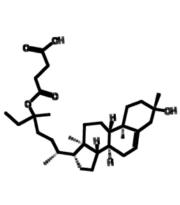 CCC(C)(CC[C@@H](C)[C@H]1CC[C@H]2[C@@H]3CC=C4C[C@@](C)(O)CC[C@]4(C)[C@H]3CC[C@]12C)OC(=O)CCC(=O)O